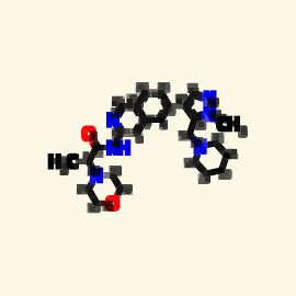 CC(C(=O)Nc1cc2cc(-c3cnn(C)c3CN3CCCCC3)ccc2cn1)N1CCOCC1